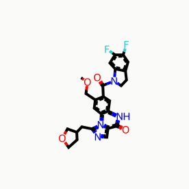 COCc1cc2c(cc1C(=O)N1CCc3cc(F)c(F)cc31)[nH]c(=O)c1cnc(CC3CCOC3)n12